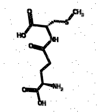 CSC[C@H](NC(=O)CC[C@@H](N)C(=O)O)C(=O)O